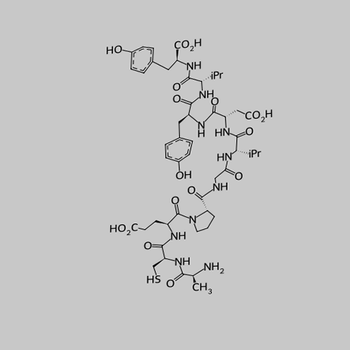 CC(C)[C@H](NC(=O)CNC(=O)[C@@H]1CCCN1C(=O)[C@H](CCC(=O)O)NC(=O)[C@H](CS)NC(=O)[C@H](C)N)C(=O)N[C@@H](CC(=O)O)C(=O)N[C@@H](Cc1ccc(O)cc1)C(=O)N[C@H](C(=O)N[C@@H](Cc1ccc(O)cc1)C(=O)O)C(C)C